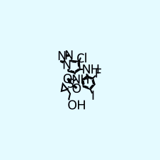 O=S(=O)(Nc1cn2cnnc2c(Cl)c1Nc1ccc(I)cc1F)C1(CCO)CC1